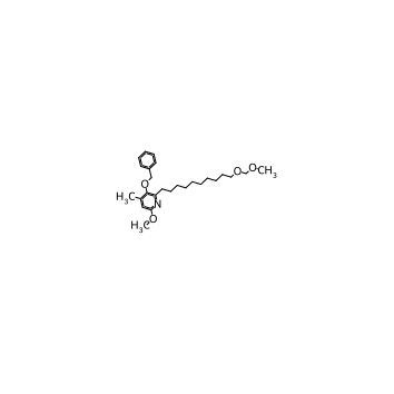 COCOCCCCCCCCCCc1nc(OC)cc(C)c1OCc1ccccc1